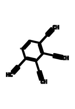 C#Cc1[c]cc(C#C)c(C#C)c1C#C